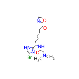 CN(C)CC(=O)NC(CCCCCC(=O)c1ncco1)c1nc(Br)c[nH]1